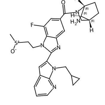 C[S+]([O-])CCn1c(-c2cc3cccnc3n2CC2CC2)nc2cc(C(=O)N3C[C@H]4CC[C@@H]3[C@@H]4N)cc(F)c21